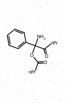 CCCC(=O)OC(N)(C(=O)CCC)c1ccccc1